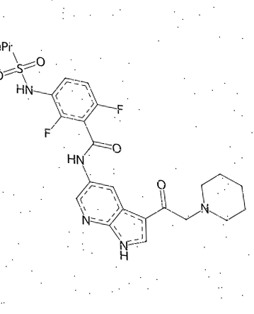 CCCS(=O)(=O)Nc1ccc(F)c(C(=O)Nc2cnc3[nH]cc(C(=O)CN4CCCCC4)c3c2)c1F